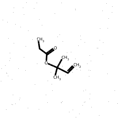 C=CC(C)(C)OC(=O)CC